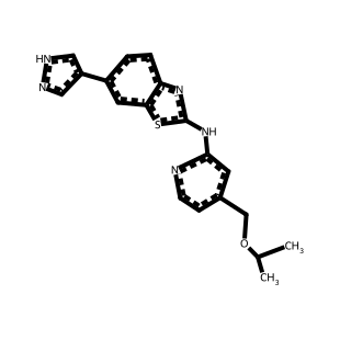 CC(C)OCc1ccnc(Nc2nc3ccc(-c4cn[nH]c4)cc3s2)c1